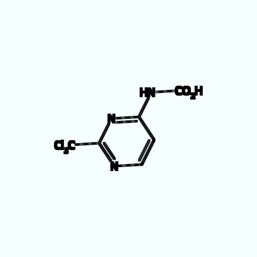 O=C(O)Nc1ccnc(C(Cl)(Cl)Cl)n1